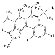 Cc1c([C@H](OC(C)(C)C)C(=O)O)c(-c2c(F)cc(Cl)cc2F)c2cc(C)n3c2c1N(C)CC3